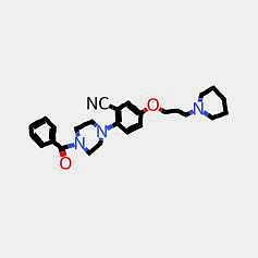 N#Cc1cc(OCCCN2CCCCC2)ccc1N1CCN(C(=O)c2ccccc2)CC1